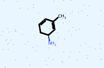 CC1=C[C@@H](N)CC=C1